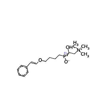 C[N+](C)(C)C/C(O)=[P+](\[O-])CCCCOC=Cc1ccccc1